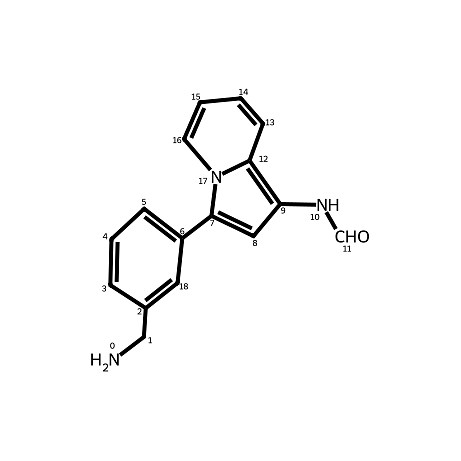 NCc1cccc(-c2cc(NC=O)c3ccccn23)c1